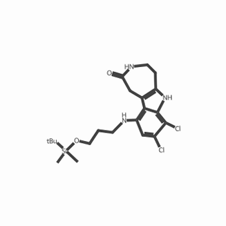 CC(C)(C)[Si](C)(C)OCCCNc1cc(Cl)c(Cl)c2[nH]c3c(c12)CC(=O)NCC3